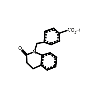 O=C(O)c1ccc(CN2C(=O)CCc3ccccc32)cc1